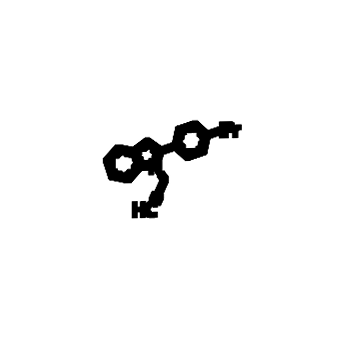 C#CCn1c(-c2ccc(C(C)C)cc2)cc2ccccc21